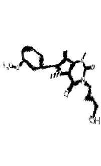 Cc1c(-c2cccc(OC(F)(F)F)c2)[nH]c2c(=O)n(CCCO)c(=O)n(C)c12